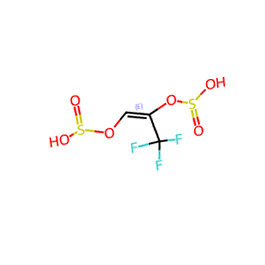 O=S(O)O/C=C(/OS(=O)O)C(F)(F)F